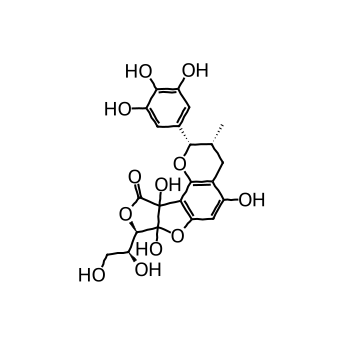 C[C@@H]1Cc2c(O)cc3c(c2O[C@@H]1c1cc(O)c(O)c(O)c1)C1(O)C(=O)O[C@H]([C@@H](O)CO)C1(O)O3